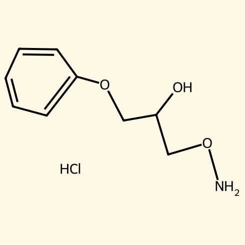 Cl.NOCC(O)COc1ccccc1